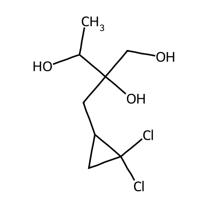 CC(O)C(O)(CO)CC1CC1(Cl)Cl